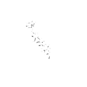 C=CC(=O)NC1C(C)(C)CN(S(=O)(=O)c2ccc(C(=O)NCCC34CC5CC(CC(C5)C3)C4)cc2)CC1(C)C